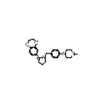 CN1CCN(c2ccc(CN3CCC[C@H]3c3ccc4c(c3)OCCO4)cc2)CC1